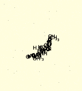 Cn1cc(-c2ccnc(-n3ccn4c5c(cc4c3=O)CC(C)(C)C5)c2CO)nc(Nc2ccc(N3CCN(C4COC4)C[C@]3(C)O)cn2)c1=O